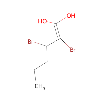 CCCC(Br)C(Br)=C(O)O